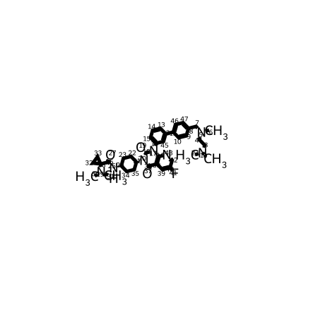 CN(C)CCN(C)Cc1ccc(-c2cccc(-n3c(=O)n([C@H]4CC[C@@H](NC(=O)C5(N(C)C)CC5)CC4)c(=O)c4cc(F)cnc43)c2)cc1